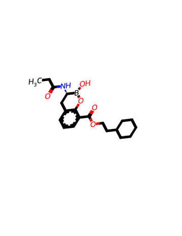 CCC(=O)N[C@H]1Cc2cccc(C(=O)OCCC3CCCCC3)c2OB1O